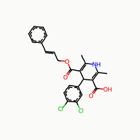 CC1=C(C(=O)O)C(c2ccc(Cl)c(Cl)c2)C(C(=O)OC/C=C/c2ccccc2)=C(C)N1